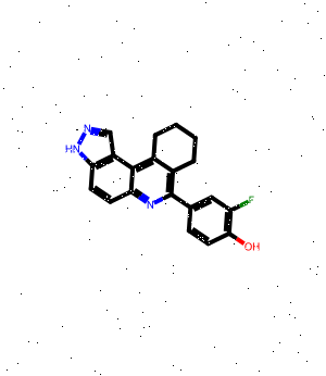 Oc1ccc(-c2nc3ccc4[nH]ncc4c3c3c2CCCC3)cc1F